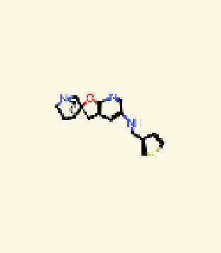 c1cc(CNc2cnc3c(c2)C[C@@]2(CN4CCC2CC4)O3)cs1